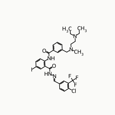 CCN(CC)CCN(C)Cc1cccc(C(=O)Nc2ccc(I)cc2C(=O)N/N=C/c2ccc(Cl)c(C(F)(F)F)c2)c1